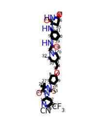 C[C@@H]1CC(CCO[C@H]2CC[C@H](N3C(=S)N(c4cnc(C#N)c(C(F)(F)F)c4)C(=O)C3(C)C)CC2)C[C@H](C)N1CC(=O)Nc1cccc(NC2CCC(=O)NC2=O)c1